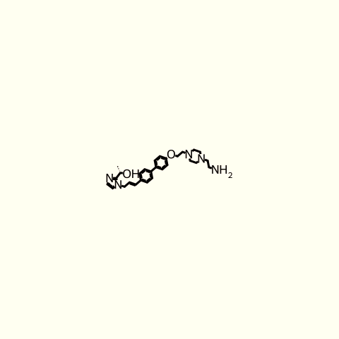 C[C@H](O)c1nccn1C/C=C/c1ccc(-c2ccc(OCCN3CCN(CCN)CC3)cc2)cc1